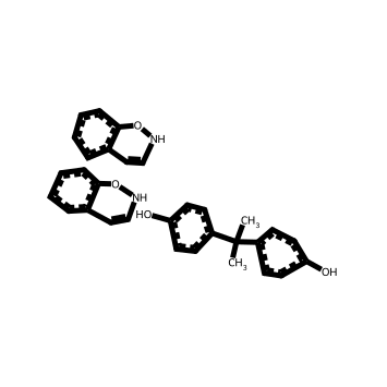 C1=Cc2ccccc2ON1.C1=Cc2ccccc2ON1.CC(C)(c1ccc(O)cc1)c1ccc(O)cc1